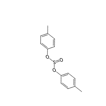 Cc1ccc(OS(=O)Oc2ccc(C)cc2)cc1